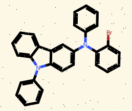 Brc1ccccc1N(c1ccccc1)c1ccc2c(c1)c1ccccc1n2-c1ccccc1